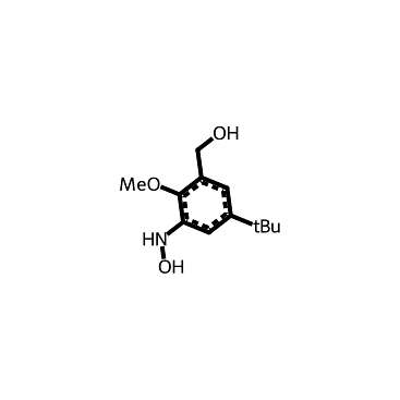 COc1c(CO)cc(C(C)(C)C)cc1NO